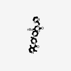 CCCCC1CN(Cc2ncccn2)C(=O)OC12CCN(C1(C)CCN(C(=O)c3c(C)ccnc3C)CC1)CC2